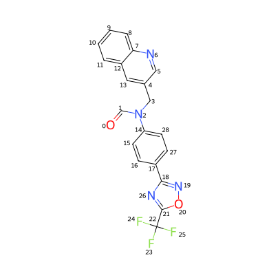 O=CN(Cc1cnc2ccccc2c1)c1ccc(-c2noc(C(F)(F)F)n2)cc1